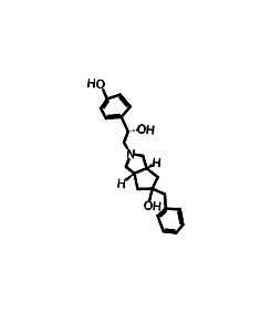 Oc1ccc([C@H](O)CN2C[C@@H]3CC(O)(Cc4ccccc4)C[C@@H]3C2)cc1